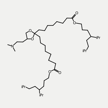 CC(C)CCC(CCCOC(=O)CCCCCCCC1(CCCCCCCC(=O)OCCCC(CCC(C)C)C(C)C)OCC(CCN(C)C)O1)C(C)C